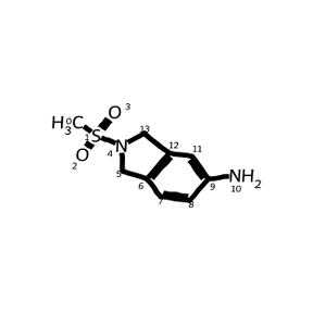 CS(=O)(=O)N1Cc2ccc(N)cc2C1